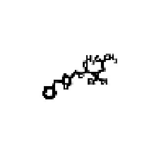 CCC1(CC)C(C=C(C)C)C1C(=O)OCc1coc(Cc2ccccc2)c1